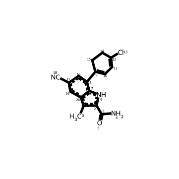 Cc1c(C(N)=O)[nH]c2c(C3=CC=C(Cl)CC3)cc(C#N)cc12